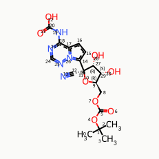 CC(C)(C)OC(=O)OC[C@H]1O[C@@](C#N)(c2ccc3c(NC(=O)O)ncnn23)[C@H](O)[C@@H]1O